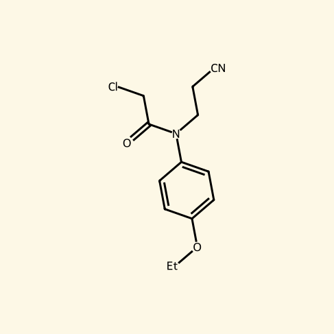 CCOc1ccc(N(CCC#N)C(=O)CCl)cc1